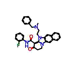 CN(CCN1C2=C(C(=O)Nc3ccccc3F)C(=O)CCN2c2cc3ccccc3cc21)Cc1ccccc1